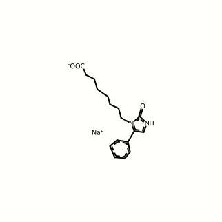 O=C([O-])CCCCCCCn1c(-c2ccccc2)c[nH]c1=O.[Na+]